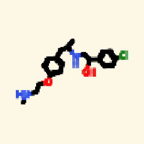 CNCCOc1ccc(CC(C)NCC(O)c2ccc(Cl)cc2)cc1